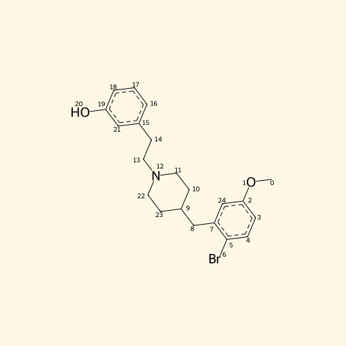 COc1ccc(Br)c(CC2CCN(CCc3cccc(O)c3)CC2)c1